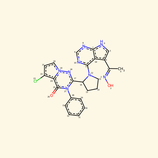 CC(=NO)c1c[nH]c2ncnc(N3CCCC3c3nn4ccc(Cl)c4c(=O)n3-c3ccccc3)c12